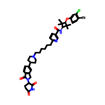 CC1(C)[C@H](NC(=O)c2ccc(CCCCCCN3CCC(c4ccc5c(c4)CN(C4CCC(=O)NC4=O)C5=O)CC3)nc2)C(C)(C)[C@H]1Oc1ccc(C#N)c(Cl)c1